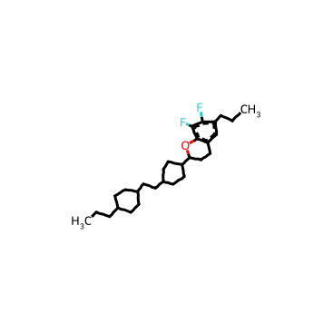 CCCc1cc2c(c(F)c1F)OC(C1CCC(CCC3CCC(CCC)CC3)CC1)CC2